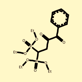 CCOP(=O)(OCC)C(CC(=O)C(=O)c1ccccc1)P(=O)(OCC)OCC